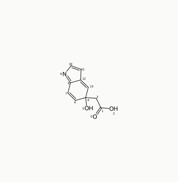 O=C(O)CC1(O)C=CC2=NC=CC2=C1